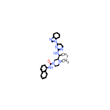 CC(Nc1nccc(-n2cnc3ccccc32)n1)C1CN(C(=O)Nc2cccc3ccccc23)CCN1C